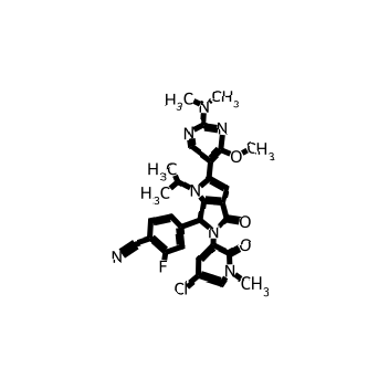 COc1nc(N(C)C)ncc1-c1cc2c(n1C(C)C)C(c1ccc(C#N)c(F)c1)N(c1cc(Cl)cn(C)c1=O)C2=O